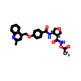 Cc1cc(COc2ccc(C(=O)N[C@H]3COC[C@H]3C(=O)NOC(=O)C(F)(F)F)cc2)c2ccccc2n1